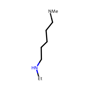 CCNCCCCCNC